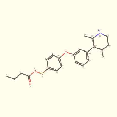 CCCC(=O)OSc1ccc(Oc2cccc(C3C(C)CCNC3C)c2)cc1